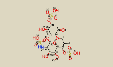 CCCOC(C=O)[C@H](O[C@H]1OC(COS(=O)(=O)O)[C@@H](OC)[C@@H](O)C1NS(=O)(=O)O)[C@@H](O)COS(=O)(=O)O